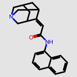 O=C(C=C1C2CC3CC1CN(C3)C2)Nc1cccc2ccccc12